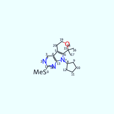 CSc1ncc2c3c(n(C4CCCC4)c2n1)C(C)(C)OCC3